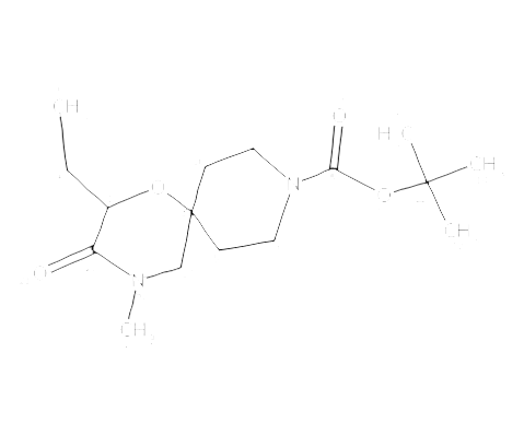 CCC1OC2(CCN(C(=O)OC(C)(C)C)CC2)CN(C)C1=O